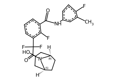 Cc1cc(NC(=O)c2cccc(C(F)(F)C(=O)N3[C@@H]4CC[C@H]3CC(O)C4)c2F)ccc1F